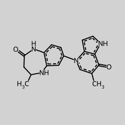 Cc1cn(-c2ccc3c(c2)NC(C)CC(=O)N3)c2cc[nH]c2c1=O